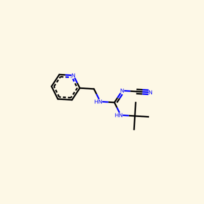 CC(C)(C)NC(=NC#N)NCc1ccccn1